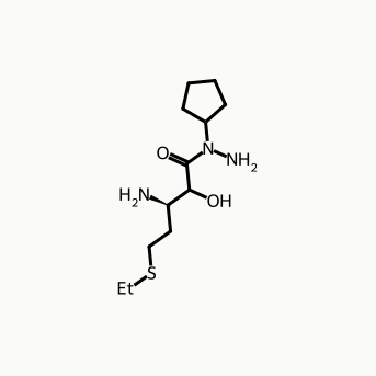 CCSCC[C@@H](N)C(O)C(=O)N(N)C1CCCC1